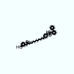 O=C(CNCCCCCCCCCN1CCC(OC(=O)Nc2ccccc2-c2ccccc2)CC1)Cc1cccc(O)c1